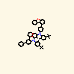 CC(C)(C)c1ccc2c(c1)B1c3ccc(C(C)(C)C)cc3N(c3ccc(-c4cccc5oc6ccccc6c45)cc3)c3cccc(c31)N2c1ccc(-c2ccccc2)cc1-c1ccccc1